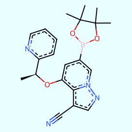 C[C@H](Oc1cc(B2OC(C)(C)C(C)(C)O2)cn2ncc(C#N)c12)c1ccccn1